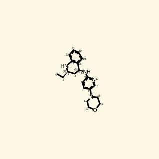 CC[C@@H]1C[C@H](Nc2ccc(N3CCOCC3)cn2)c2ccccc2N1